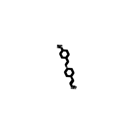 CCC/C=C/[C@H]1CC[C@H](CCC2CCC(C#N)CC2)CC1